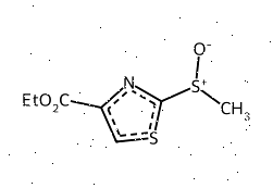 CCOC(=O)c1csc([S+](C)[O-])n1